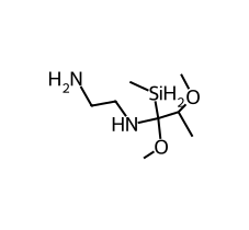 COC(C)C(NCCN)(OC)[SiH2]C